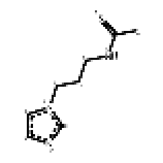 CC(=S)NCCCn1ccnc1